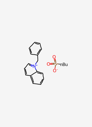 CCCCS(=O)(=O)[O-].c1ccc(C[n+]2cccc3ccccc32)cc1